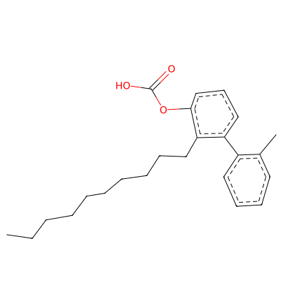 CCCCCCCCCCc1c(OC(=O)O)cccc1-c1ccccc1C